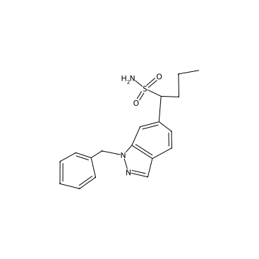 CCCC(c1ccc2cnn(Cc3ccccc3)c2c1)S(N)(=O)=O